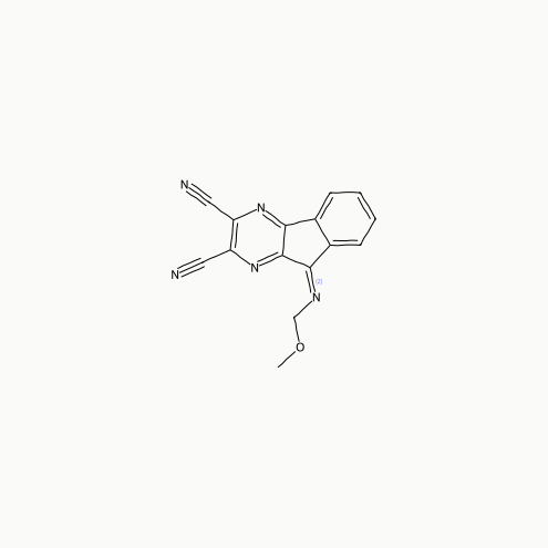 COC/N=C1/c2ccccc2-c2nc(C#N)c(C#N)nc21